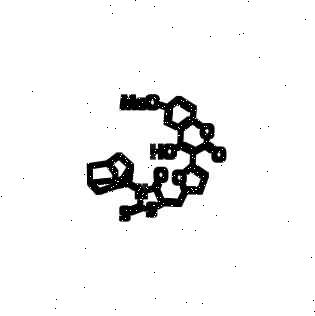 COc1ccc2oc(=O)c(-c3ccc(C=C4SC(=S)N(C5C6CC7CC(C6)CC5C7)C4=O)o3)c(O)c2c1